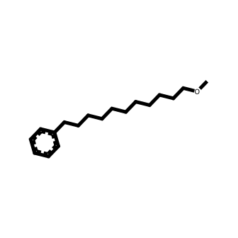 COCCCCCCCCCCCc1ccccc1